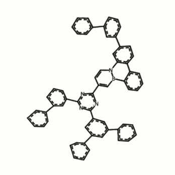 C1=CN2B(C=C1c1nc(-c3cccc(-c4ccccc4)c3)nc(-c3cc(-c4ccccc4)cc(-c4ccccc4)c3)n1)c1ccccc1-c1ccc(-c3cccc(-c4ccccc4)c3)cc12